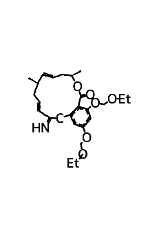 CCOCOc1cc2c(c(OCOCC)c1)C(=O)O[C@H](C)C/C=C/[C@H](C)C/C=C/C(=N)C2